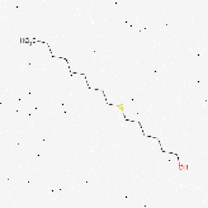 O=C(O)CCCCCCCCSCCCCCCO